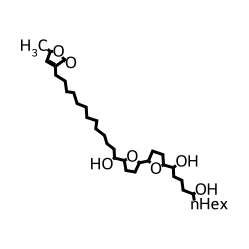 CCCCCCC(O)CCCC(O)C1CCC(C2CCC(C(O)CCCCCCCCCCCCC3=CC(C)OC3=O)O2)O1